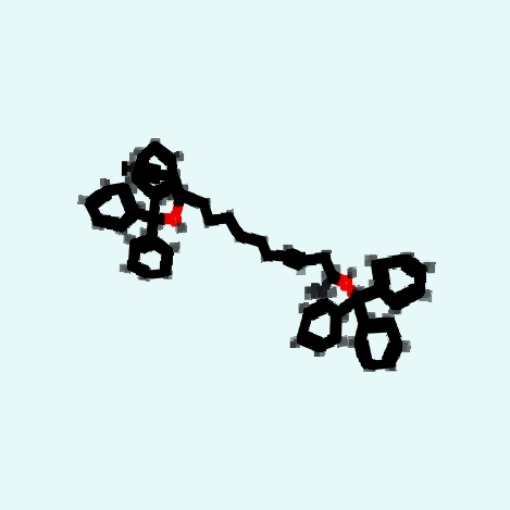 C#CC=C(CCCCCCC#CC[C@H](CCCC)OC(c1ccccc1)(c1ccccc1)c1ccccc1)OC(c1ccccc1)(c1ccccc1)c1ccccc1